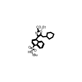 CCOC(=O)c1nc(-c2ccc(S(=O)(=O)NC(C)(C)C)c3ccccc23)c(CC2CCCCC2)o1